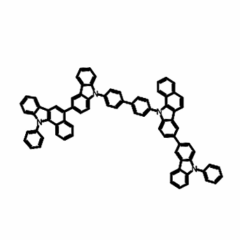 c1ccc(-n2c3ccccc3c3cc(-c4ccc5c(c4)c4ccc6ccccc6c4n5-c4ccc(-c5ccc(-n6c7ccccc7c7cc(-c8cc9c%10ccccc%10n(-c%10ccccc%10)c9c9ccccc89)ccc76)cc5)cc4)ccc32)cc1